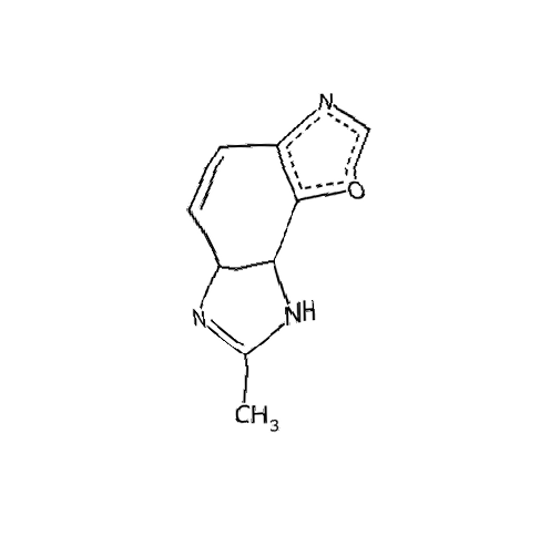 CC1=NC2C=Cc3ncoc3C2N1